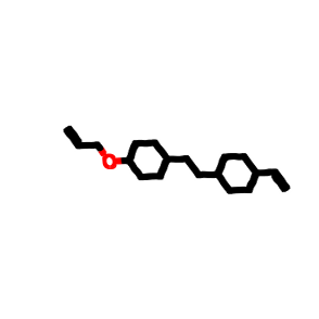 C=CCOC1CCC(CCC2CCC(C=C)CC2)CC1